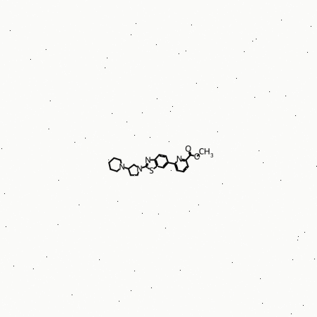 COC(=O)c1cccc(-c2ccc3nc(N4CCC(N5CCCCC5)C4)sc3c2)n1